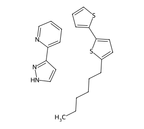 CCCCCCc1ccc(-c2cccs2)s1.c1ccc(-c2cc[nH]n2)nc1